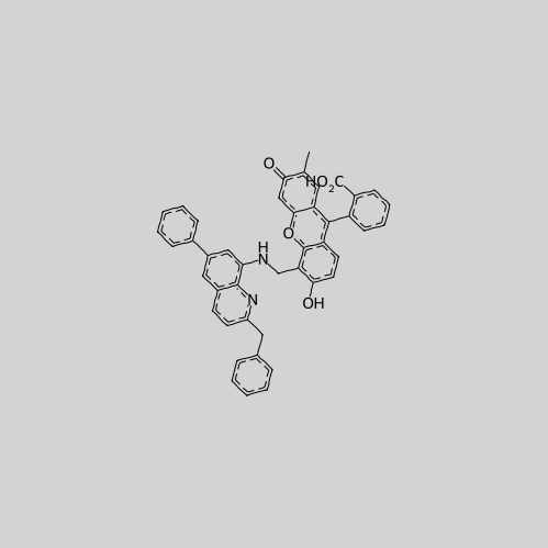 Cc1cc2c(-c3ccccc3C(=O)O)c3ccc(O)c(CNc4cc(-c5ccccc5)cc5ccc(Cc6ccccc6)nc45)c3oc-2cc1=O